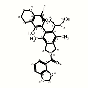 Cc1c(-c2c(C)c3c(c(C)c2[C@H](OC(C)(C)C)C(=O)O)CN(C(=O)c2cccc4c2OCO4)C3)cc(F)c2c1CCCO2